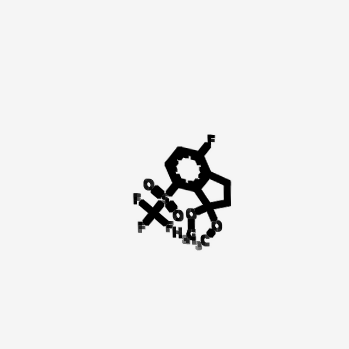 COC1(OC)CCc2c(F)ccc(S(=O)(=O)C(F)(F)F)c21